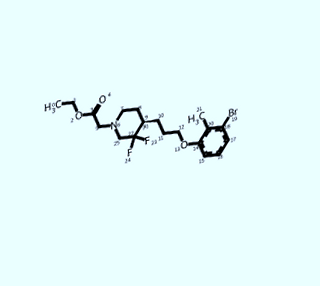 CCOC(=O)CN1CC[C@@H](CCCOc2cccc(Br)c2C)C(F)(F)C1